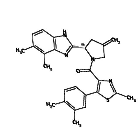 C=C1C[C@@H](c2nc3c(C)c(C)ccc3[nH]2)N(C(=O)c2nc(C)sc2-c2ccc(C)c(C)c2)C1